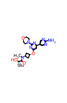 CN(C(=O)[C@@H](O)C(C)(C)C)[C@H]1C[C@H](Oc2cc(-c3cnc(N)nc3)nc(N3CCOCC3)n2)C1